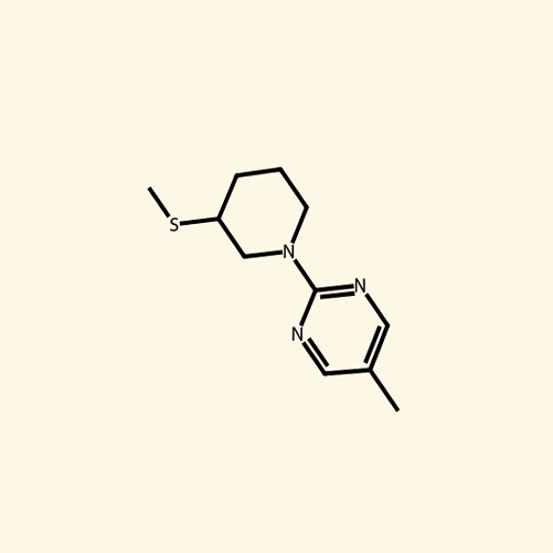 CSC1CCCN(c2ncc(C)cn2)C1